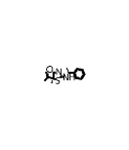 CC(C)[C@@]1(C)SC(N[C@@H](C)c2ccccc2)=NC1=O